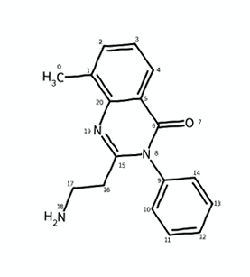 Cc1cccc2c(=O)n(-c3ccccc3)c(CCN)nc12